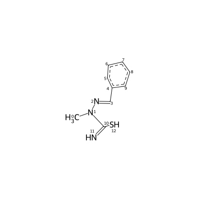 CN(N=Cc1ccccc1)C(=N)S